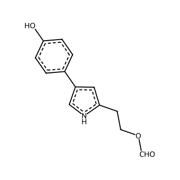 O=COCCc1cc(-c2ccc(O)cc2)c[nH]1